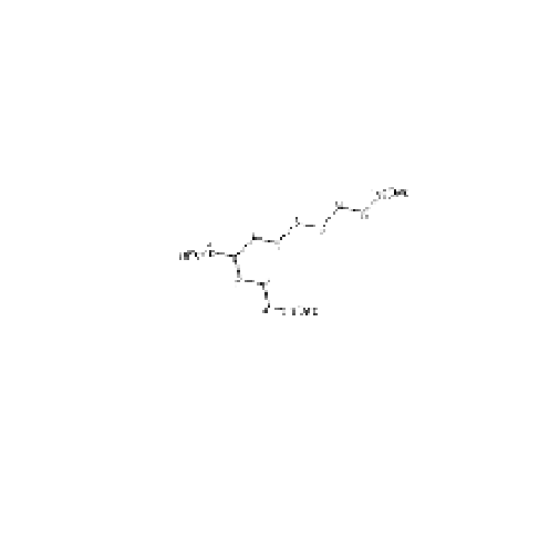 [CH2]CCCCC(CCCCCCCCCCCCC)CCCCCCCCCCCCCCCC